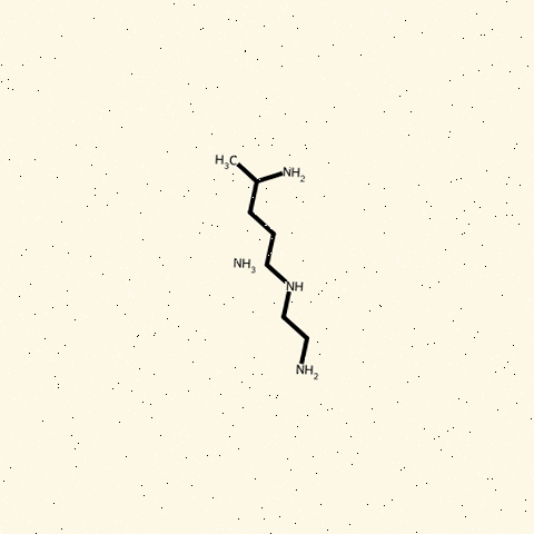 CC(N)CCCNCCN.N